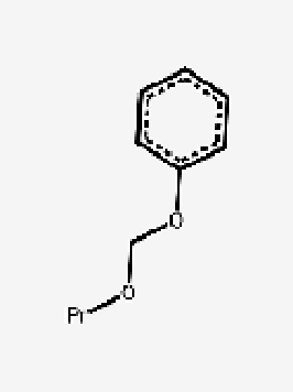 CC(C)OCOc1ccccc1